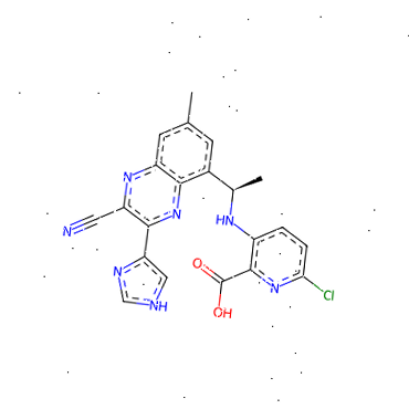 Cc1cc([C@@H](C)Nc2ccc(Cl)nc2C(=O)O)c2nc(-c3c[nH]cn3)c(C#N)nc2c1